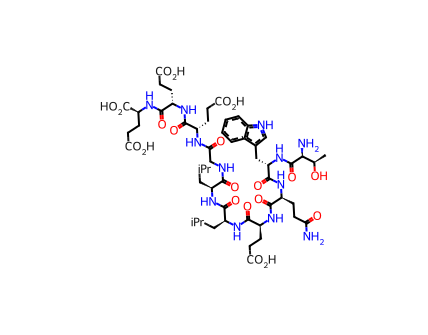 CC(C)C[C@H](NC(=O)[C@H](CC(C)C)NC(=O)[C@H](CCC(=O)O)NC(=O)[C@H](CCC(N)=O)NC(=O)[C@H](Cc1c[nH]c2ccccc12)NC(=O)[C@@H](N)[C@@H](C)O)C(=O)NCC(=O)N[C@@H](CCC(=O)O)C(=O)N[C@@H](CCC(=O)O)C(=O)N[C@@H](CCC(=O)O)C(=O)O